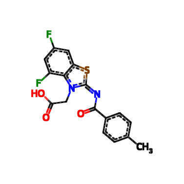 Cc1ccc(C(=O)N=c2sc3cc(F)cc(F)c3n2CC(=O)O)cc1